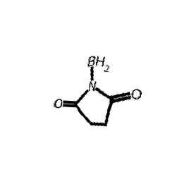 BN1C(=O)CCC1=O